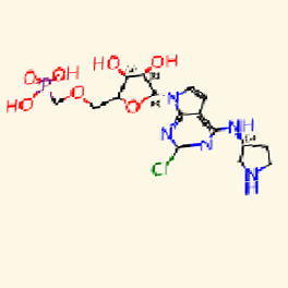 O=P(O)(O)COCC1O[C@@H](n2ccc3c(N[C@H]4CCNC4)nc(Cl)nc32)[C@H](O)[C@@H]1O